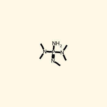 CN=P(N)(N(C)C)N(C)C